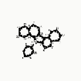 c1ccc(-n2c3ccc4ccccc4c3c3ccc4ccccc4c32)cc1